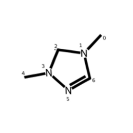 CN1[CH]N(C)N=C1